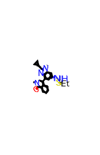 CCSNc1cc(-c2cn(C)c(=O)c3ccccc23)c2nc(C3CC3)n(C)c2c1